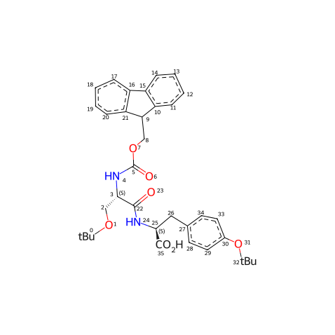 CC(C)(C)OC[C@H](NC(=O)OCC1c2ccccc2-c2ccccc21)C(=O)N[C@@H](Cc1ccc(OC(C)(C)C)cc1)C(=O)O